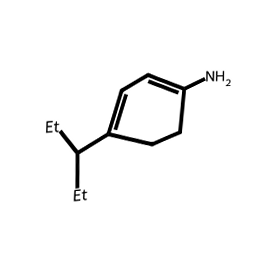 CCC(CC)C1=CC=C(N)CC1